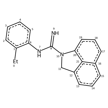 CCc1ccccc1NC(=N)N1Cc2cccc3cccc1c23